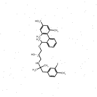 Cc1ccc(CC(C)(C)NC[C@H](O)COC(C)c2ccccc2-c2c(C)cc(C(=O)O)cc2C)cc1F